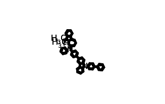 CC1(C)C2=C(CCC=C2)C2=CCC=C(N(c3ccccc3)c3ccc(-c4ccc5c(c4)c4ccccc4n5-c4ccc(-c5ccccc5)cc4)cc3)C[C@H]21